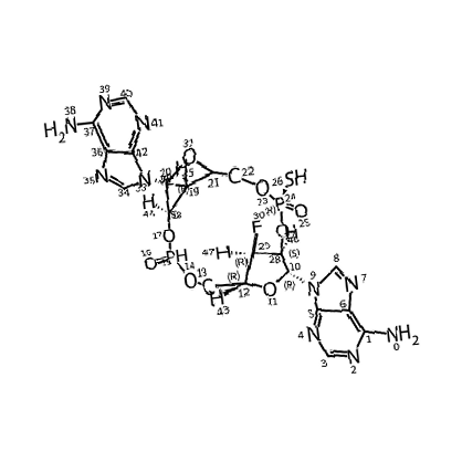 Nc1ncnc2c1ncn2[C@@H]1O[C@@H]2CO[PH](=O)O[C@@H]3[C@H](F)C(CO[P@@](=O)(S)O[C@@H]1[C@@H]2F)O[C@H]3n1cnc2c(N)ncnc21